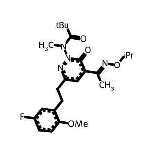 COc1ccc(F)cc1CCc1cc(/C(C)=N/OC(C)C)c(=O)n(N(C)C(=O)C(C)(C)C)n1